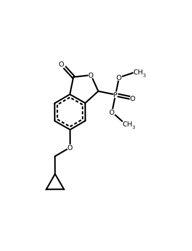 COP(=O)(OC)C1OC(=O)c2ccc(OCC3CC3)cc21